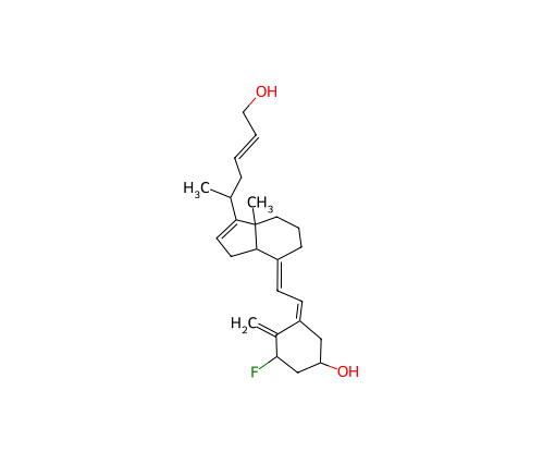 C=C1/C(=C\C=C2/CCCC3(C)C(C(C)C/C=C/CO)=CCC23)CC(O)CC1F